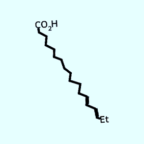 CC/C=C/C=C/CCCCCCCCCCCC(=O)O